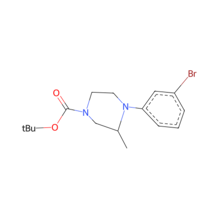 CC1CN(C(=O)OC(C)(C)C)CCN1c1cccc(Br)c1